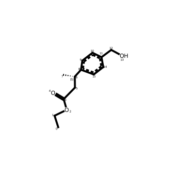 CCOC(=O)C[C@H](C)c1ccc(CO)cc1